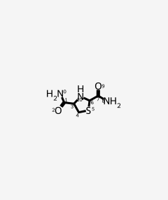 NC(=O)C1CSC(C(N)=O)N1